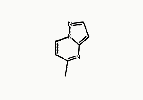 Cc1ccn2n[c]cc2n1